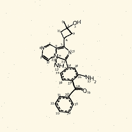 CC1(O)CC(C2=C3C=NC=C[N+]3(N)C(c3ccc(C(=O)c4ccccc4)c(N)c3)=N2)C1